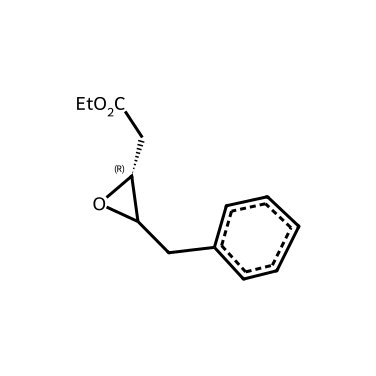 CCOC(=O)C[C@H]1OC1Cc1ccccc1